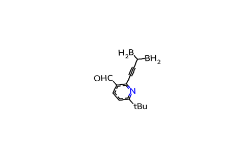 BC(B)C#Cc1nc(C(C)(C)C)ccc1C=O